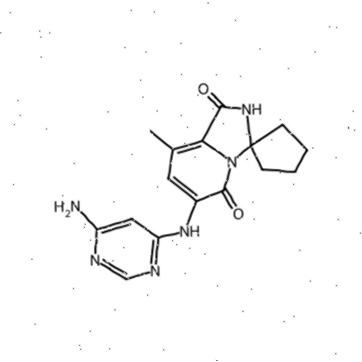 Cc1cc(Nc2cc(N)ncn2)c(=O)n2c1C(=O)NC21CCCC1